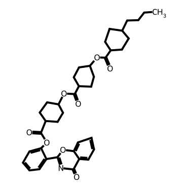 CCCCC1CCC(C(=O)OC2CCC(C(=O)OC3CCC(C(=O)Oc4ccccc4-c4nc(=O)c5ccccc5o4)CC3)CC2)CC1